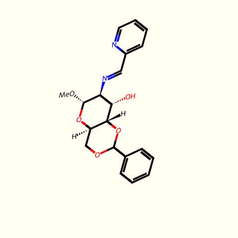 CO[C@H]1O[C@@H]2COC(c3ccccc3)O[C@H]2[C@@H](O)[C@@H]1N=Cc1ccccn1